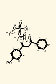 CC(C)c1ccc(C(=O)CC(=O)c2ccccc2)cc1.CN.COS(=O)(=O)O